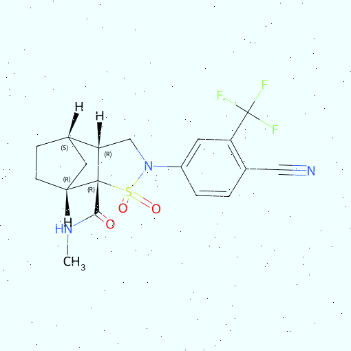 CNC(=O)[C@@]12[C@@H]3CC[C@@H](C3)[C@@H]1CN(c1ccc(C#N)c(C(F)(F)F)c1)S2(=O)=O